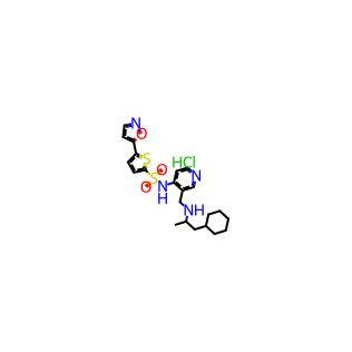 CC(CC1CCCCC1)NCc1cnccc1NS(=O)(=O)c1ccc(-c2ccno2)s1.Cl